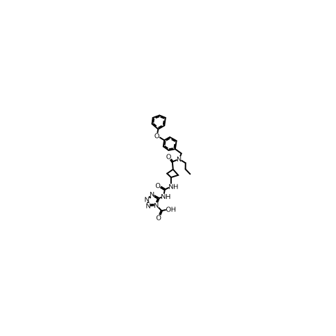 CCCN(Cc1ccc(Oc2ccccc2)cc1)C(=O)C1CC(NC(=O)Nc2nnnn2C(=O)O)C1